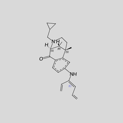 C=C/C=C(\C=C)Nc1ccc2c(c1)[C@@]1(C)CCN(CC3CC3)[C@H](C2=O)[C@@H]1C